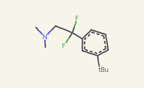 CN(C)CC(F)(F)c1cccc(C(C)(C)C)c1